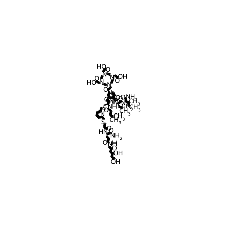 CC[C@H](C)[C@H](NC(=O)[C@H](CC(C)C)NC(=O)C1(NC(=O)[C@H](CSCc2cccc(CSCCC(=O)N[C@H](CCC(=O)NC[C@H](O)C[C@H](O)CCO)C(N)=O)n2)NC(=O)CCC(C)C)CCN(C(=O)CN2CCN(CC(=O)O)CCN(CC(=O)O)CCN(CC(=O)O)CC2)CC1)C(N)=O